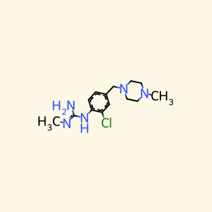 C/N=C(\N)Nc1ccc(CN2CCN(C)CC2)cc1Cl